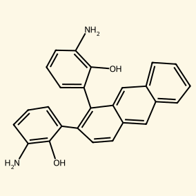 Nc1cccc(-c2ccc3cc4ccccc4cc3c2-c2cccc(N)c2O)c1O